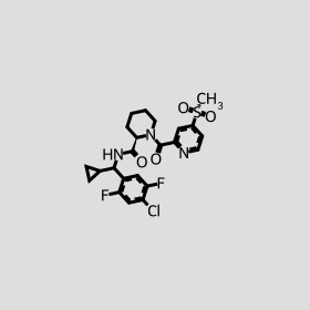 CS(=O)(=O)c1ccnc(C(=O)N2CCCC[C@@H]2C(=O)NC(c2cc(F)c(Cl)cc2F)C2CC2)c1